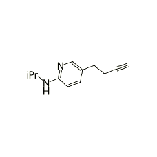 C#CCCc1ccc(NC(C)C)nc1